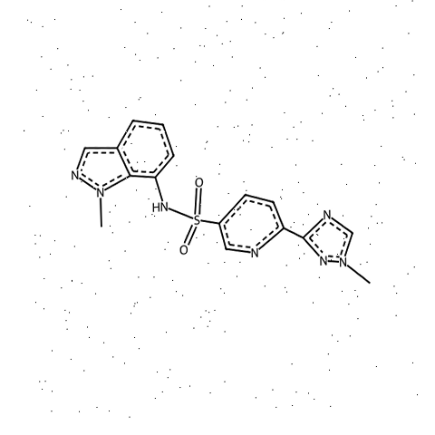 Cn1cnc(-c2ccc(S(=O)(=O)Nc3cccc4cnn(C)c34)cn2)n1